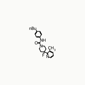 CCCCc1ccc(NC(=O)N2CCC(F)(c3ncccc3C)CC2)cc1